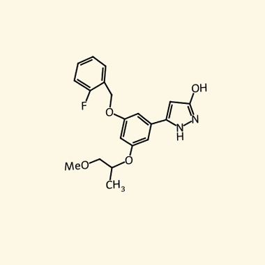 COCC(C)Oc1cc(OCc2ccccc2F)cc(-c2cc(O)n[nH]2)c1